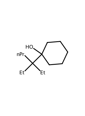 CCCC(CC)(CC)C1(O)CCCCC1